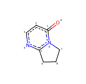 O=c1ccnc2n1CCC2